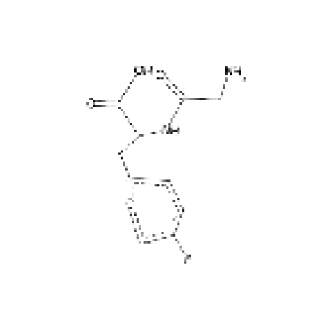 NCC(=O)NC(Cc1ccc(F)cc1)C(=O)O